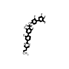 CCCc1cnc(-c2ccc(-c3cc(F)c(C(F)(F)Oc4ccc(-c5cc(F)c(F)c(F)c5)c(F)c4)c(F)c3)c(F)c2)nc1